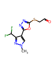 Cn1cc(-c2nnc(SCC=O)o2)c(C(F)F)n1